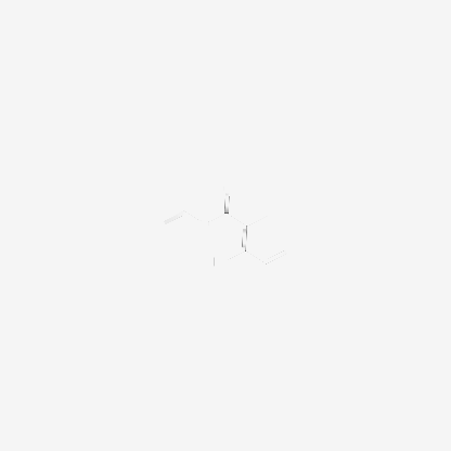 C=COC(=O)C(C)=C(C=C)CC